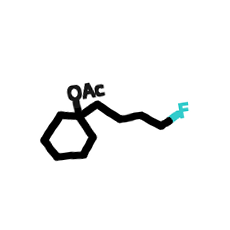 CC(=O)OC1(CCCCF)CCCCC1